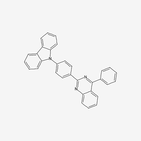 c1ccc(-c2nc(-c3ccc(-n4c5ccccc5c5ccccc54)cc3)nc3ccccc23)cc1